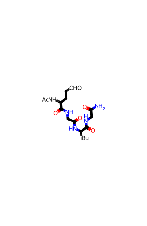 CCC(C)C(NC(=O)CNC(=O)C(CCC=O)NC(C)=O)C(=O)NCC(N)=O